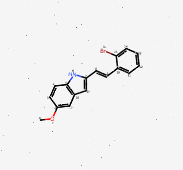 COc1ccc2[nH]c(C=Cc3ccccc3Br)cc2c1